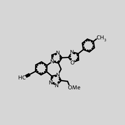 C#Cc1ccc2c(c1)-c1nnc(COC)n1Cc1c(-c3nc(-c4ccc(C)cc4)co3)ncn1-2